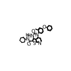 Cc1cc(Oc2ccccc2)ccc1N1C(=O)Nc2c(C(=O)NC3CCCCC3)sc3nccc1c23